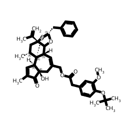 C=C(C)[C@]12C[C@@H](C)[C@@]34O[C@](Cc5ccccc5)(OC1[C@@H]3C=C(COC(=O)Cc1ccc(OC(C)(C)C)c(OC)c1)C[C@]1(O)C(=O)C(C)=C[C@@H]41)O2